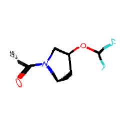 CC(C)(C)C(=O)N1CCC(OC(F)F)C1